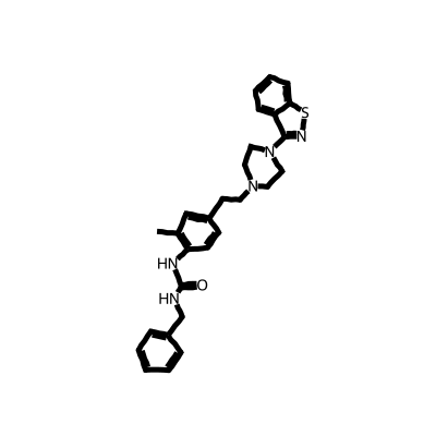 Cc1cc(CCN2CCN(c3nsc4ccccc34)CC2)ccc1NC(=O)NCc1ccccc1